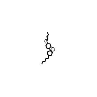 CCCCCC1CCC(OC)(C2CCC(OCCCC)CC2)CC1